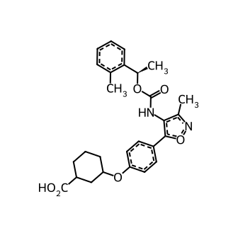 Cc1ccccc1[C@@H](C)OC(=O)Nc1c(C)noc1-c1ccc(OC2CCCC(C(=O)O)C2)cc1